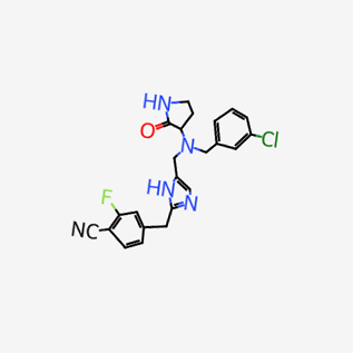 N#Cc1ccc(Cc2ncc(CN(Cc3cccc(Cl)c3)C3CCNC3=O)[nH]2)cc1F